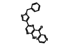 Nc1ncc(-c2cnn(Cc3ccccc3)c2)nc1C(=O)c1cccnc1